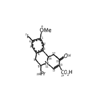 COc1cc2c(cc1I)CC(C(C)C)N1C=C(C(=O)O)C(=O)CC21